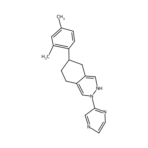 Cc1ccc(C2CCC3=CN(c4cnccn4)NC=C3C2)c(C)c1